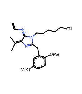 C=C/N=C1\C(=C(C)C)N=C(Cc2cc(OC)ccc2OC)N1CCCCCC#N